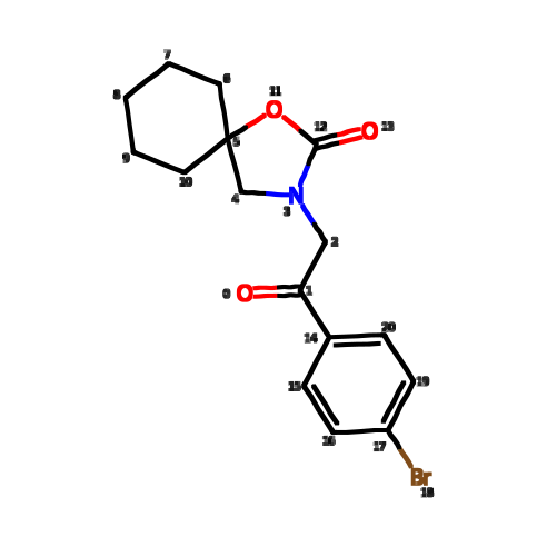 O=C(CN1CC2(CCCCC2)OC1=O)c1ccc(Br)cc1